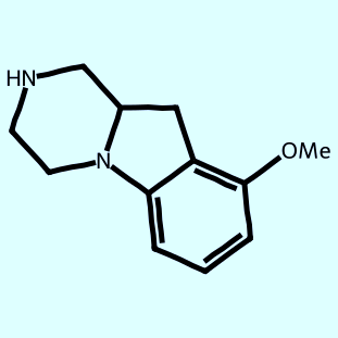 COc1cccc2c1CC1CNCCN21